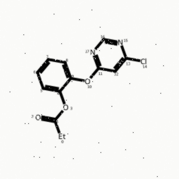 CCC(=O)Oc1ccccc1Oc1cc(Cl)ncn1